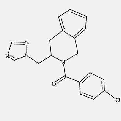 O=C(c1ccc(Cl)cc1)N1Cc2ccccc2CC1Cn1cncn1